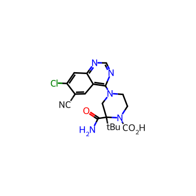 CC(C)(C)C1(C(N)=O)CN(c2ncnc3cc(Cl)c(C#N)cc23)CCN1C(=O)O